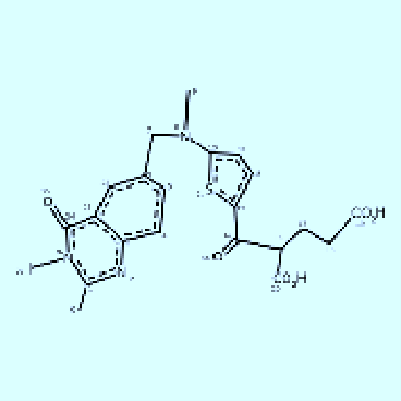 Cc1nc2ccc(CN(C)c3ccc(C(=O)C(CCC(=O)O)C(=O)O)s3)cc2c(=O)n1I